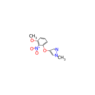 COc1cccc(Oc2cnn(C)c2)c1[N+](=O)[O-]